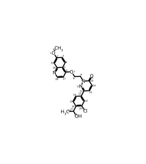 COc1ccc2c(OCCn3nc(-c4ccc(C(C)O)c(Cl)c4)ccc3=O)ccnc2c1